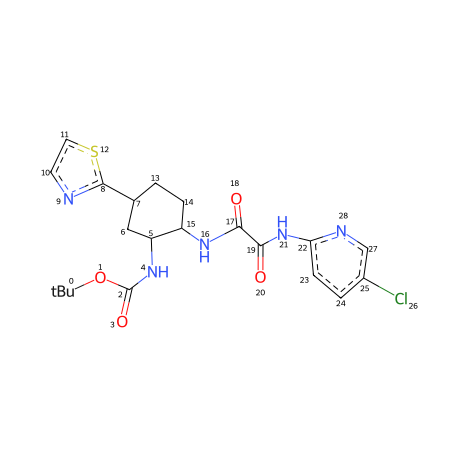 CC(C)(C)OC(=O)NC1CC(c2nccs2)CCC1NC(=O)C(=O)Nc1ccc(Cl)cn1